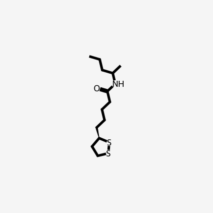 CCCC(C)NC(=O)CCCC[C@@H]1CCSS1